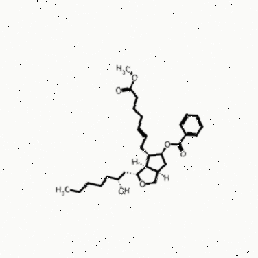 CCCCC[C@@H](O)C[C@H]1OC[C@@H]2C[C@H](OC(=O)c3ccccc3)[C@H](CC=CCCCC(=O)OC)[C@@H]21